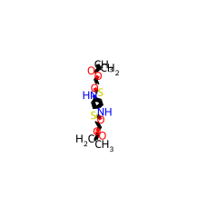 C=C(C)C(=O)OCCOC(=S)Nc1ccc(NC(=S)OCCOC(=O)C(=C)C)cc1